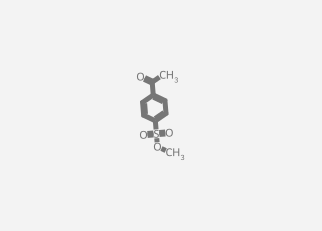 COS(=O)(=O)c1ccc(C(C)=O)cc1